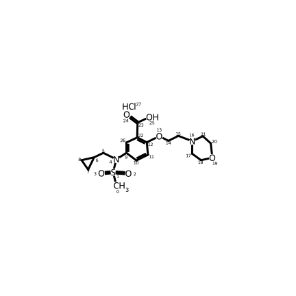 CS(=O)(=O)N(CC1CC1)c1ccc(OCCN2CCOCC2)c(C(=O)O)c1.Cl